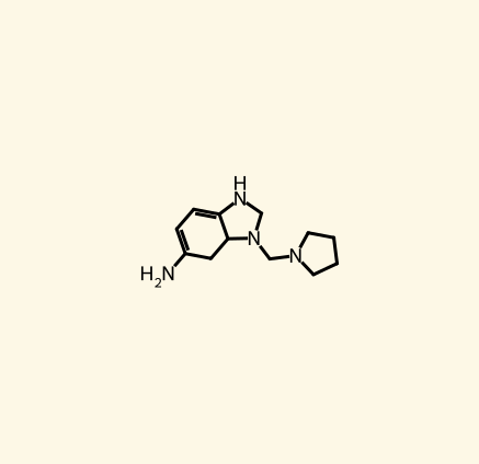 NC1=CC=C2NCN(CN3CCCC3)C2C1